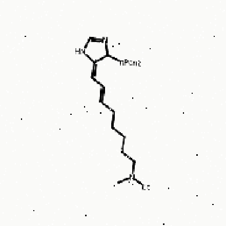 CCCCCC1N=CN/C1=C/C=C/CCCCCN(C)CC